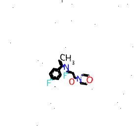 C/C=C(\N=C(/F)CC(=O)N1CCOCC1)c1ccc(F)cc1